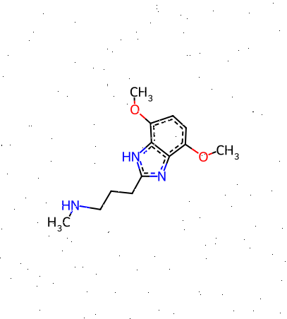 CNCCCc1nc2c(OC)ccc(OC)c2[nH]1